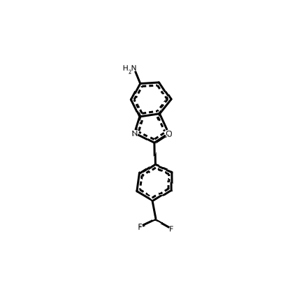 Nc1ccc2oc(-c3ccc(C(F)F)cc3)nc2c1